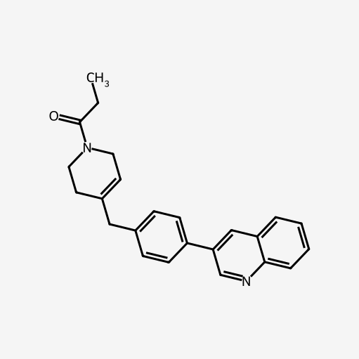 CCC(=O)N1CC=C(Cc2ccc(-c3cnc4ccccc4c3)cc2)CC1